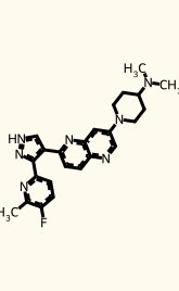 Cc1nc(-c2n[nH]cc2-c2ccc3ncc(N4CCC(N(C)C)CC4)cc3n2)ccc1F